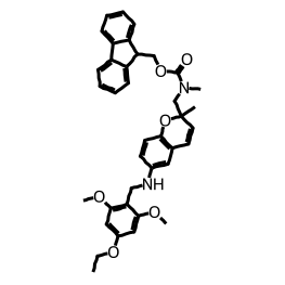 CCOc1cc(OC)c(CNc2ccc3c(c2)C=CC(C)(CN(C)C(=O)OCC2c4ccccc4-c4ccccc42)O3)c(OC)c1